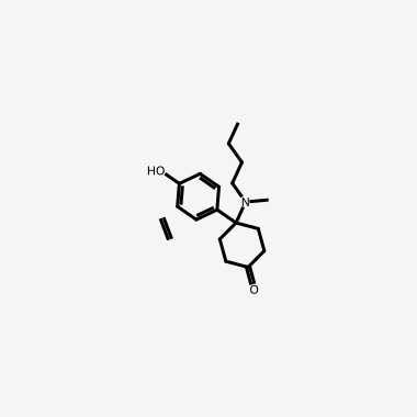 C=C.CCCCN(C)C1(c2ccc(O)cc2)CCC(=O)CC1